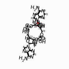 Nc1ncnc2c1ncn2[C@@H]1O[C@@H]2CNS(=O)(=O)O[C@@H]3[C@H](O)[C@@H](COP(=O)(O)O[C@H]2[C@H]1F)O[C@H]3n1cnc2c(N)ncnc21